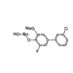 COc1cc(-c2cccc(Cl)c2)cc(F)c1OBO